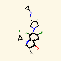 O=C(O)c1cn([C@@H]2C[C@@H]2F)c2c(Cl)c(N3C[C@H](CNC4CC4)[C@H](F)C3)c(F)cc2c1=O